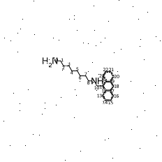 NCCCCCCCCNCc1c2ccccc2cc2ccccc12